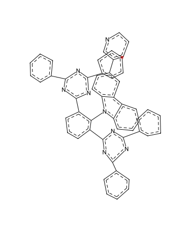 c1ccc(-c2nc(-c3ccccc3)nc(-c3cccc(-c4nc(-c5ccccc5)nc(-c5ccccc5)n4)c3-n3c4ccccc4c4cc(-c5cccnc5)ccc43)n2)cc1